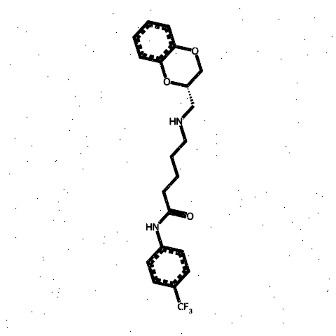 O=C(CCCCNC[C@H]1COc2ccccc2O1)Nc1ccc(C(F)(F)F)cc1